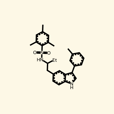 CCC(Cc1ccc2[nH]cc(-c3cccc(C)c3)c2c1)NS(=O)(=O)c1c(C)cc(C)cc1C